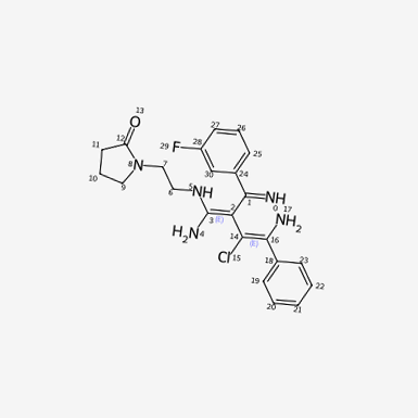 N=C(C(=C(/N)NCCN1CCCC1=O)/C(Cl)=C(\N)c1ccccc1)c1cccc(F)c1